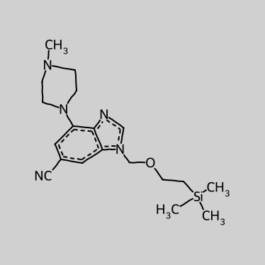 CN1CCN(c2cc(C#N)cc3c2ncn3COCC[Si](C)(C)C)CC1